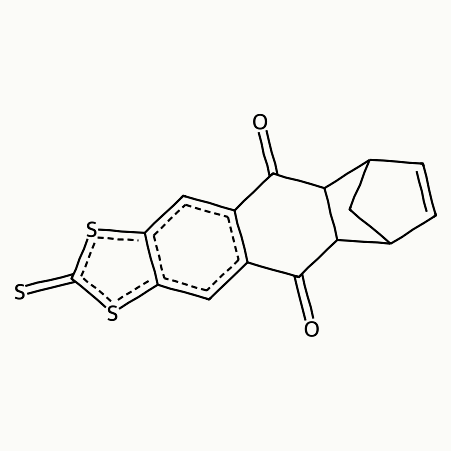 O=C1c2cc3sc(=S)sc3cc2C(=O)C2C3C=CC(C3)C12